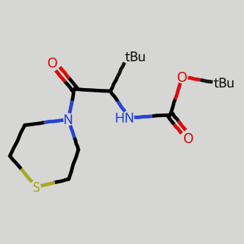 CC(C)(C)OC(=O)NC(C(=O)N1CCSCC1)C(C)(C)C